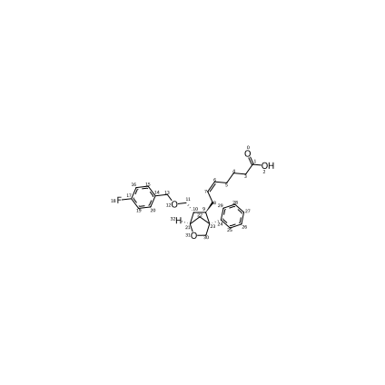 O=C(O)CCC/C=C\C[C@@H]1[C@@H](COCc2ccc(F)cc2)[C@H]2C[C@]1(c1ccccc1)CO2